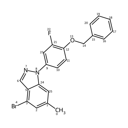 Cc1cc(Br)c2cnn(-c3ccc(OCc4ccccc4)c(F)c3)c2c1